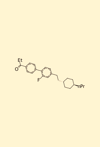 CCC[C@H]1CC[C@H](CCc2ccc(-c3ccc(C(=O)CC)cc3)c(F)c2)CC1